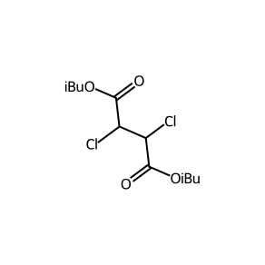 CC(C)COC(=O)C(Cl)C(Cl)C(=O)OCC(C)C